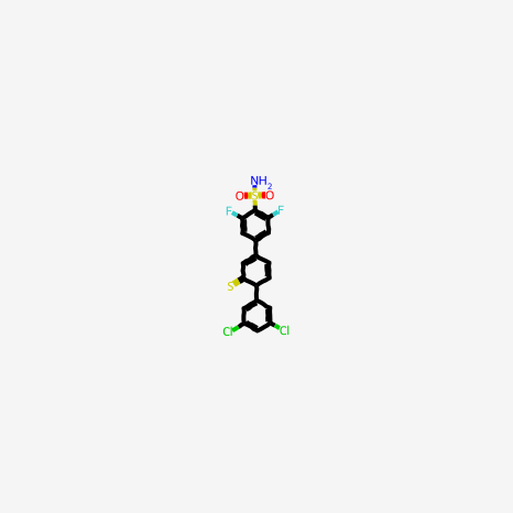 NS(=O)(=O)c1c(F)cc(C2=CC(=S)C(c3cc(Cl)cc(Cl)c3)C=C2)cc1F